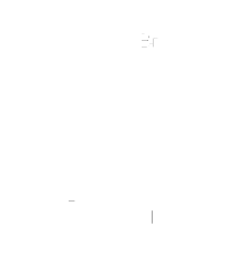 FC(F)C#CBr